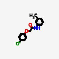 Cc1cccc(NC(=O)COc2ccc(Cl)cc2)c1